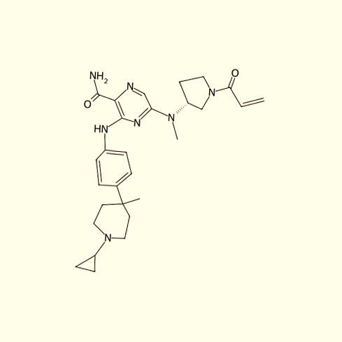 C=CC(=O)N1CC[C@@H](N(C)c2cnc(C(N)=O)c(Nc3ccc(C4(C)CCN(C5CC5)CC4)cc3)n2)C1